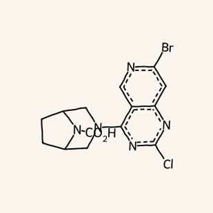 O=C(O)N1C2CCC1CN(c1nc(Cl)nc3cc(Br)ncc13)C2